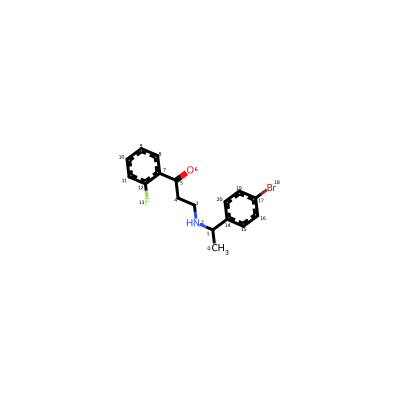 CC(NCCC(=O)c1ccccc1F)c1ccc(Br)cc1